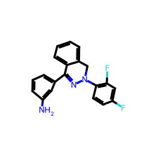 Nc1cccc(C2=NN(c3ccc(F)cc3F)Cc3ccccc32)c1